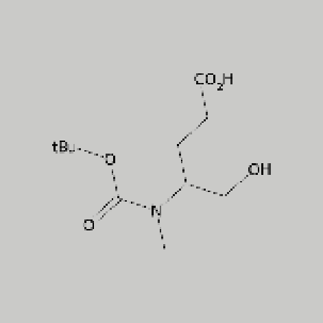 CN(C(=O)OC(C)(C)C)C(CO)CCC(=O)O